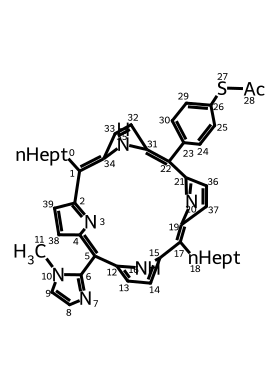 CCCCCCCc1c2nc(c(-c3nccn3C)c3ccc([nH]3)c(CCCCCCC)c3nc(c(-c4ccc(SC(C)=O)cc4)c4ccc1[nH]4)C=C3)C=C2